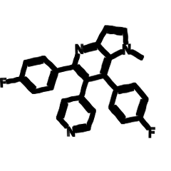 Cn1ccc2nc(-c3ccc(F)cc3)c(-c3ccncc3)c(-c3ccc(F)cc3)c21